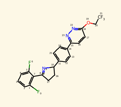 Fc1cccc(F)c1C1=NC(c2ccc(-c3ccc(OCC(F)(F)F)nn3)cc2)CC1